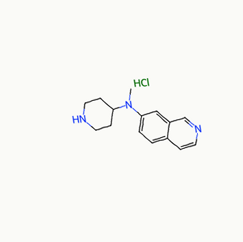 CN(c1ccc2ccncc2c1)C1CCNCC1.Cl